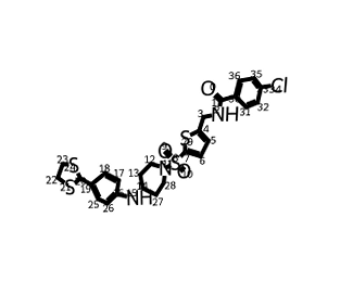 O=C(NCc1ccc(S(=O)(=O)N2CCC(Nc3ccc(C4SCCS4)cc3)CC2)s1)c1ccc(Cl)cc1